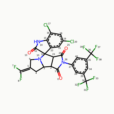 O=C1C2C3CC(=C(F)F)CN3C3(C(=O)Nc4c(Cl)cc(Cl)cc43)C2C(=O)N1c1cc(C(F)(F)F)cc(C(F)(F)F)c1